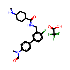 CNC1CCC(C(=O)NCc2cc(-c3ccc(N(C)C=O)cc3)ccc2F)CC1.O=C(O)C(F)(F)F